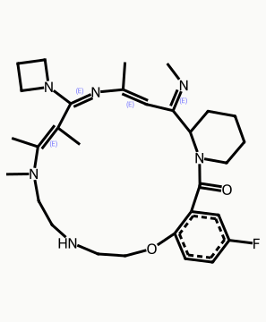 C\N=C1/C=C(C)/N=C(N2CCC2)\C(C)=C(/C)N(C)CCNCCOc2ccc(F)cc2C(=O)N2CCCCC12